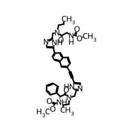 CCCN(Cc1ncc(-c2ccc3cc(C#Cc4cnc(CN(CCC)C(=O)[C@H](NC(=O)OC)c5ccccc5)[nH]4)ccc3c2)[nH]1)C(=O)CNC(=O)OC